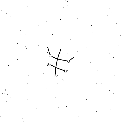 COC(C)(OC)C(Br)(Br)Br